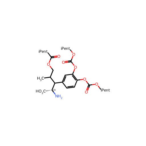 CCCC(C)OC(=O)Oc1ccc(C(C(C)COC(=O)C(C)CCC)[C@H](N)C(=O)O)cc1OC(=O)OC(C)CCC